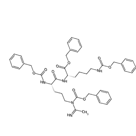 CC(=N)N(CCC[C@H](NC(=O)OCc1ccccc1)C(=O)N[C@@H](CCCCNC(=O)OCc1ccccc1)C(=O)OCc1ccccc1)C(=O)OCc1ccccc1